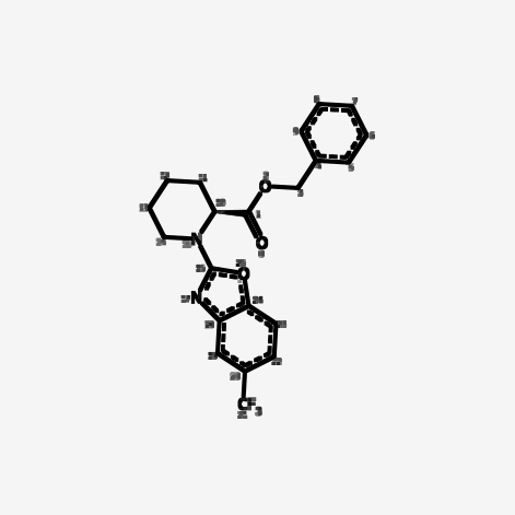 O=C(OCc1ccccc1)[C@@H]1CCCCN1c1nc2cc(C(F)(F)F)ccc2o1